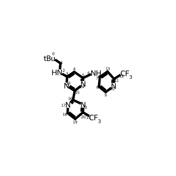 CC(C)(C)CNc1cc(Nc2ccnc(C(F)(F)F)c2)nc(-c2nccc(C(F)(F)F)n2)n1